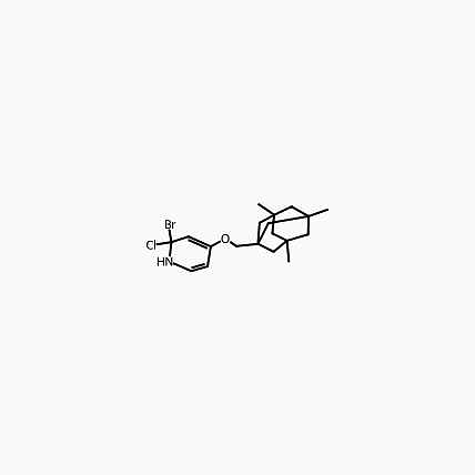 CC12CC3(C)CC(C)(C1)CC(COC1=CC(Cl)(Br)NC=C1)(C2)C3